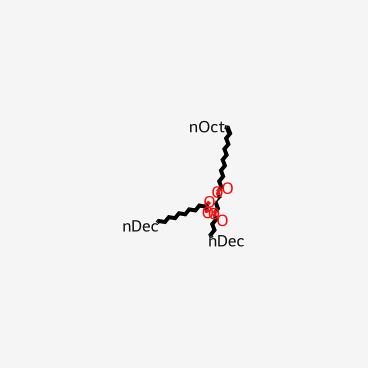 CCCCCCCC/C=C\CCCCCCCCCC(=O)OC[C@@H](COC(=O)CCCCCCCCCCCCC)OC(=O)CCCCCCCCCCCCCCCCCCC